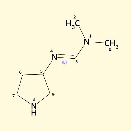 CN(C)/C=N/C1CCNC1